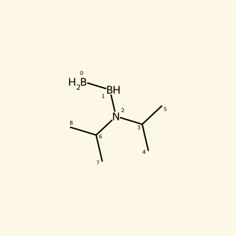 BBN(C(C)C)C(C)C